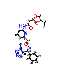 CCC1COC(CC(=O)Nc2cccc(CO/N=C(/c3ccccc3)c3nnnn3C)n2)O1